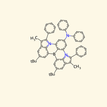 Cc1c(-c2ccccc2)n2c3c(cc(C(C)(C)C)cc13)B1c3c-2cc(N(c2ccccc2)c2ccccc2)cc3-n2c(-c3ccccc3)c(C)c3cc(C(C)(C)C)cc1c32